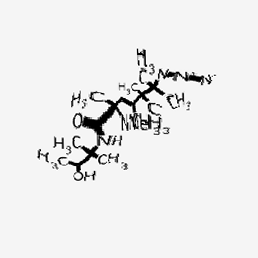 CN[C@@](C)(/C=C(\C)C(C)(C)C(C)(C)N=[N+]=[N-])C(=O)NC(C)(C)C(C)O